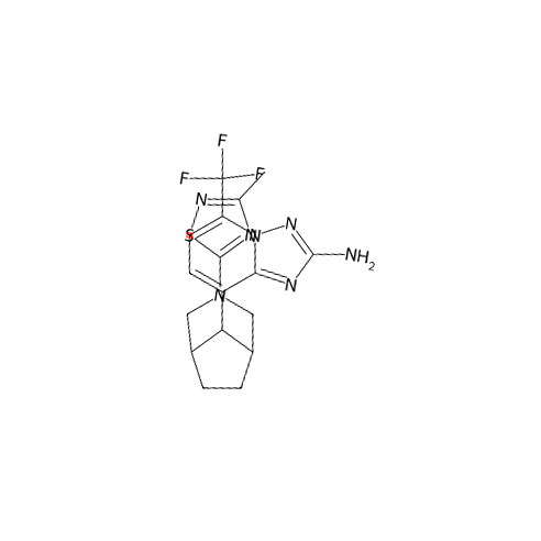 Cc1nsc(N2CC3CCC(C2)C3c2ccc(C(F)(F)F)n3nc(N)nc23)n1